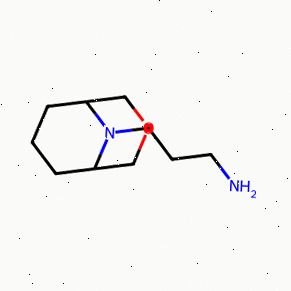 NCCCN1C2CCCC1COC2